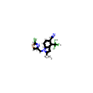 Cc1cc2c(C(F)(F)F)c(C#N)ccc2n1Cc1csc(Br)n1